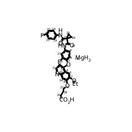 CCOc1cc2c(Oc3ccc(NC(=O)C4(C(=O)Nc5ccc(F)cc5)CC4)cc3F)ccnc2cc1OCCCC(=O)O.[MgH2]